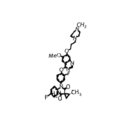 COc1cc2c(Oc3ccc(N(C(=O)[C@]4(C(N)=O)C[C@H]4C)c4ccc(F)cc4)cc3F)ncnc2cc1OCCCN1CCN(C)CC1